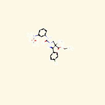 CCOC(=O)C1(C)CN(C(=O)Nc2cccc(N(C)S(C)(=O)=O)c2)N=C1c1ccc(Cl)cc1